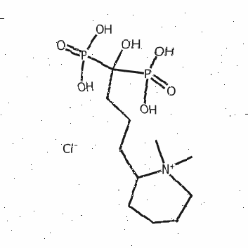 C[N+]1(C)CCCCC1CCCC(O)(P(=O)(O)O)P(=O)(O)O.[Cl-]